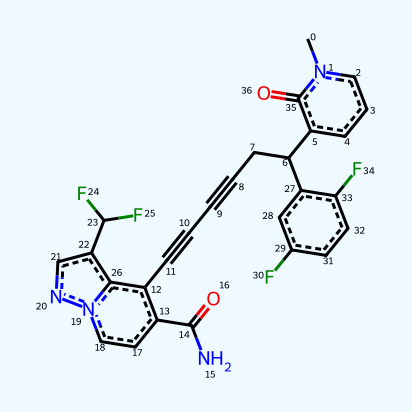 Cn1cccc(C(CC#CC#Cc2c(C(N)=O)ccn3ncc(C(F)F)c23)c2cc(F)ccc2F)c1=O